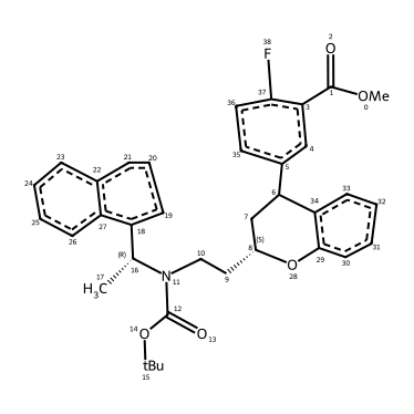 COC(=O)c1cc(C2C[C@@H](CCN(C(=O)OC(C)(C)C)[C@H](C)c3cccc4ccccc34)Oc3ccccc32)ccc1F